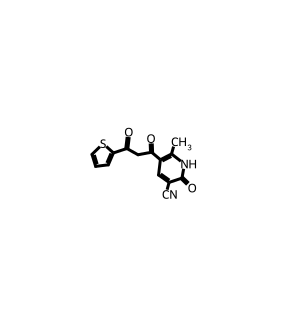 Cc1[nH]c(=O)c(C#N)cc1C(=O)CC(=O)c1cccs1